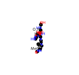 COc1cc(C[C@H]2CCN(C3CC4(CCN(c5ccc(C(=O)NS(=O)(=O)c6ccc(NC[C@H]7CC[C@](C)(O)CC7)c([N+](=O)[O-])c6)c(N6c7cc8cc[nH]c8nc7O[C@H]7COCC[C@@H]76)c5)CC4)C3)[C@@H](c3ccccc3C(C)C)C2)cnc1N1CCOCC1